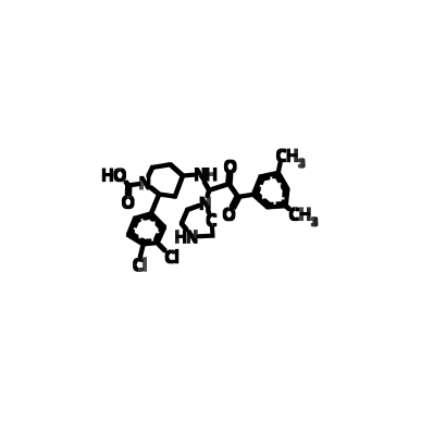 Cc1cc(C)cc(C(=O)C(=O)C(NC2CCN(C(=O)O)C(c3ccc(Cl)c(Cl)c3)C2)N2CCNCC2)c1